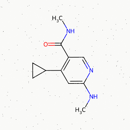 CNC(=O)c1cnc(NC)cc1C1CC1